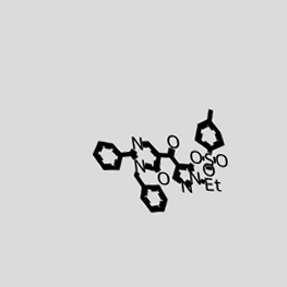 CCn1ncc(C(=O)c2cnc(-c3ccccc3)n(Cc3ccccc3)c2=O)c1OS(=O)(=O)c1ccc(C)cc1